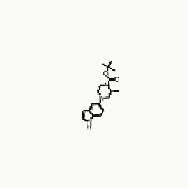 C[C@H]1CN(c2ccc3[nH]ccc3c2)CCN1C(=O)OC(C)(C)C